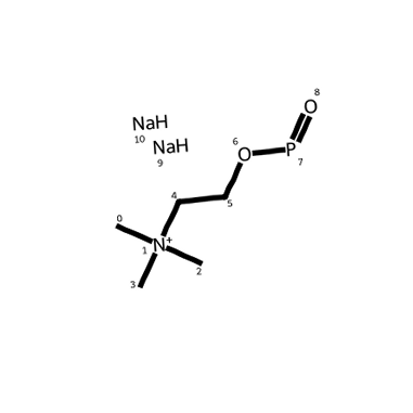 C[N+](C)(C)CCOP=O.[NaH].[NaH]